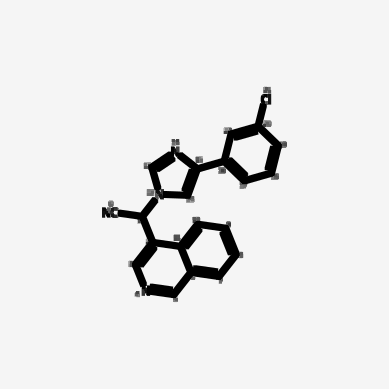 N#CC(c1cncc2ccccc12)n1cnc(-c2cccc(Cl)c2)c1